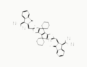 N#CC(C#N)=C1/C(=C/c2nc3c(s2)C2=C(c4sc(/C=C5\C(=O)c6ccccc6C5=C(C#N)C#N)nc4C24CCCCC4)C32CCCCC2)C(=O)c2ccccc21